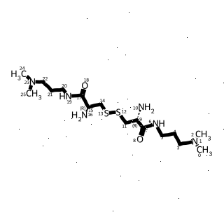 CN(C)CCCNC(=O)[C@@H](N)CSSC[C@H](N)C(=O)NCCCN(C)C